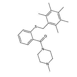 Cc1c(C)c(C)c(CSc2ccccc2C(=O)N2CCN(C)CC2)c(C)c1C